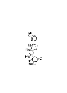 O=C(N[C@H]1[C@@H]2C[C@](O)(c3cc(Cl)cc4[nH]ncc34)C[C@@H]21)c1cccc(OC(F)(F)F)c1